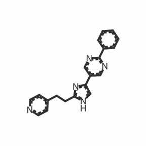 c1ccc(-c2ncc(-c3c[nH]c(CCc4ccncc4)n3)cn2)cc1